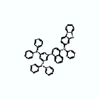 c1ccc(N(c2ccccc2)c2cc(-c3ccc(N(c4ccccc4)c4ccc5c(c4)sc4ccccc45)c4ccccc34)cc(N(c3ccccc3)c3ccccc3)c2)cc1